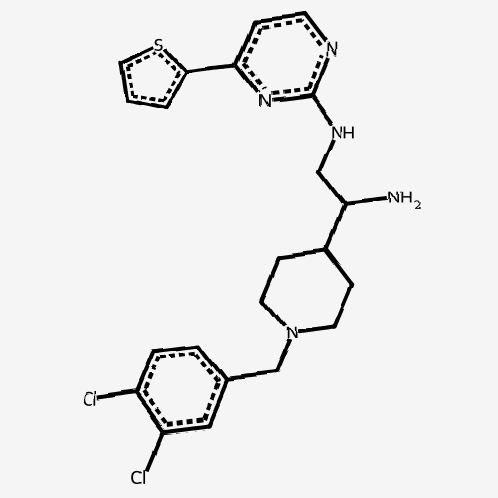 NC(CNc1nccc(-c2cccs2)n1)C1CCN(Cc2ccc(Cl)c(Cl)c2)CC1